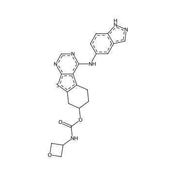 O=C(NC1COC1)OC1CCc2c(sc3ncnc(Nc4ccc5[nH]ncc5c4)c23)C1